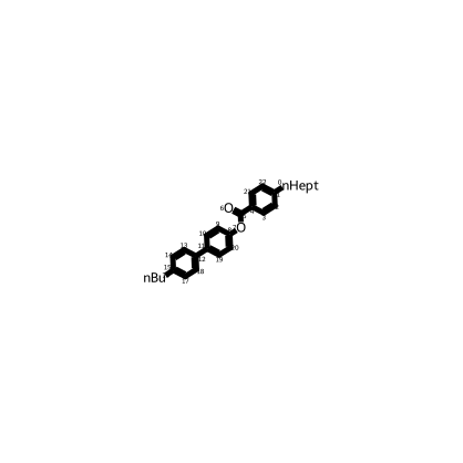 CCCCCCCc1ccc(C(=O)Oc2ccc(-c3ccc(CCCC)cc3)cc2)cc1